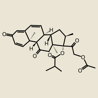 CC(=O)OCC(=O)[C@]1(OC(=O)C(C)C)[C@H](C)C[C@H]2[C@@H]3C=CC4=CC(=O)C=C[C@]4(C)[C@H]3C(=O)C[C@@]21C